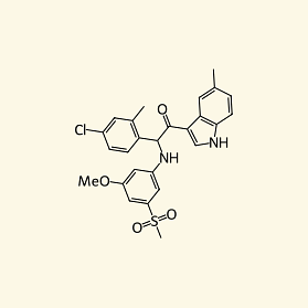 COc1cc(NC(C(=O)c2c[nH]c3ccc(C)cc23)c2ccc(Cl)cc2C)cc(S(C)(=O)=O)c1